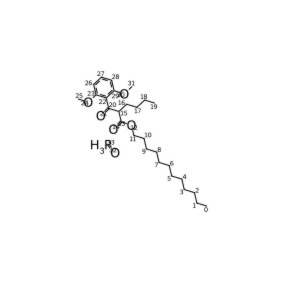 CCCCCCCCCCCCOC(=O)C(CCCC)C(=O)c1c(OC)cccc1OC.O=[PH3]